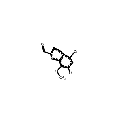 COc1c(Cl)cc(Cl)c2ccc(C=O)nc12